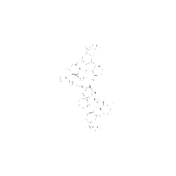 CC[C@H]1O[C@@H](n2ccc(NC(c3ccccc3)(c3ccccc3)c3ccc(OC)cc3)nc2=O)[C@@H](OC(c2ccccc2)(c2ccccc2)c2ccc(OC)cc2)[C@@H]1C